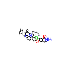 CCC(NCC(C)C)[C@]1(c2ccccc2)CC[C@H](Oc2cc3cc[nH]c(=O)c3cc2Cl)CC1